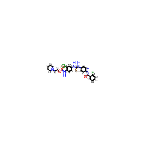 O=C(Nc1ccc(NC(=S)Nc2ccc(NC(=O)c3ccccc3F)cc2)cc1Cl)OCCN1CCCCC1